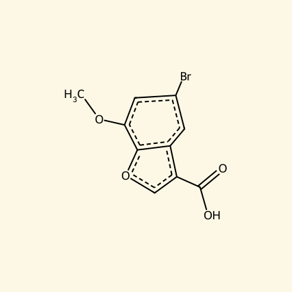 COc1cc(Br)cc2c(C(=O)O)coc12